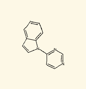 [c]1ccc2c(c1)ccn2-c1ccncn1